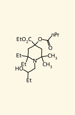 CCCC(=O)OC1(C(=O)OCC)CC(C)(C)N(CC(O)CC)C(CC)(CC)C1